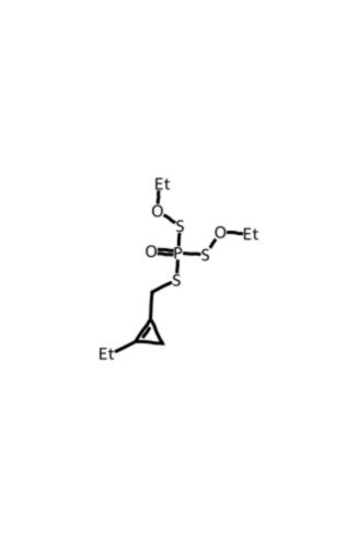 CCOSP(=O)(SCC1=C(CC)C1)SOCC